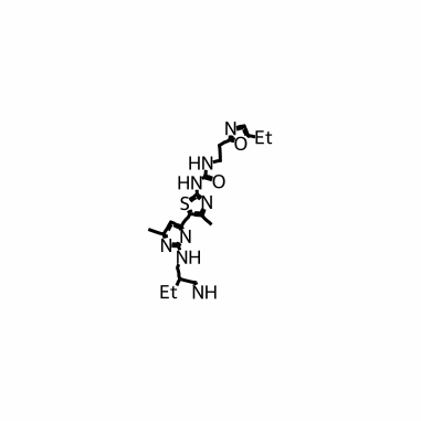 CCc1cnc(CCNC(=O)Nc2nc(C)c(-c3cc(C)nc(NCC(C=N)CC)n3)s2)o1